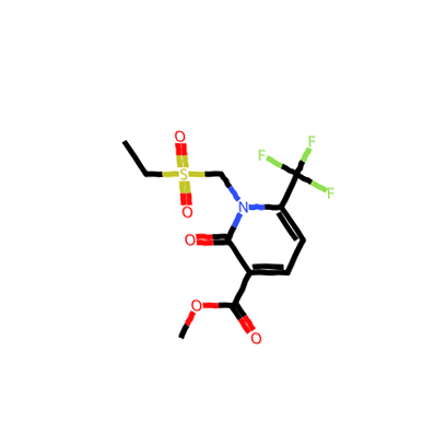 CCS(=O)(=O)Cn1c(C(F)(F)F)ccc(C(=O)OC)c1=O